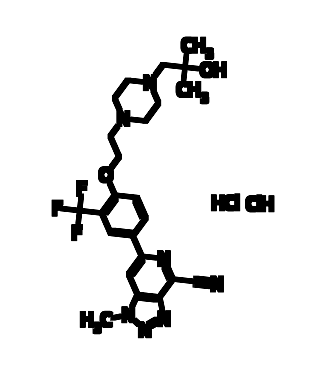 Cl.Cl.Cn1nnc2c(C#N)nc(-c3ccc(OCCN4CCN(CC(C)(C)O)CC4)c(C(F)(F)F)c3)cc21